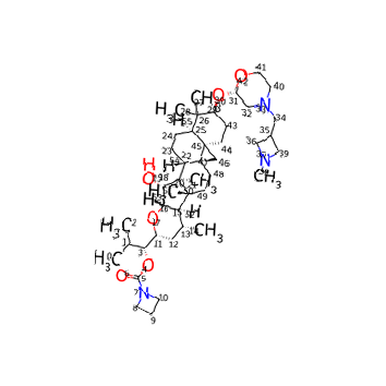 CC(C)[C@@H](OC(=O)N1CCC1)[C@H]1C[C@@H](C)[C@H]2[C@H](O1)[C@H](O)[C@@]1(C)[C@@H]3CC[C@H]4C(C)(C)[C@@H](O[C@H]5CN(CC6CN(C)C6)CCO5)CC[C@@]45C[C@@]35CC[C@]21C